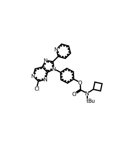 CC(C)(C)N(C(=O)Oc1ccc(-n2c(-c3ccccn3)nc3cnc(Cl)nc32)cc1)C1CCC1